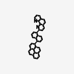 c1cnc2c(c1)ccc1ccc(-c3cccc4c(-c5ccc6ccc7cccc8ccc5c6c78)cccc34)nc12